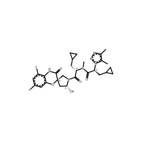 Cc1nnn([C@@H](CC2CC2)C(=O)N(C)[C@@H](CC2CC2)C(=O)N2C[C@@]3(C[C@H]2C#N)Oc2cc(F)cc(F)c2NC3=O)c1C